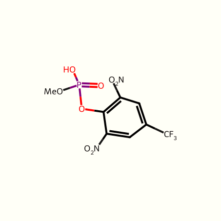 COP(=O)(O)Oc1c([N+](=O)[O-])cc(C(F)(F)F)cc1[N+](=O)[O-]